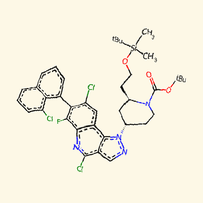 CC(C)(C)OC(=O)N1CC[C@H](n2ncc3c(Cl)nc4c(F)c(-c5cccc6cccc(Cl)c56)c(Cl)cc4c32)C[C@H]1CCO[Si](C)(C)C(C)(C)C